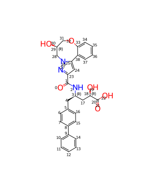 O=C(N[C@H](Cc1ccc(-c2ccccc2)cc1)C[C@@H](O)C(=O)O)c1cc2n(n1)C[C@@H](O)COc1ccccc1-2